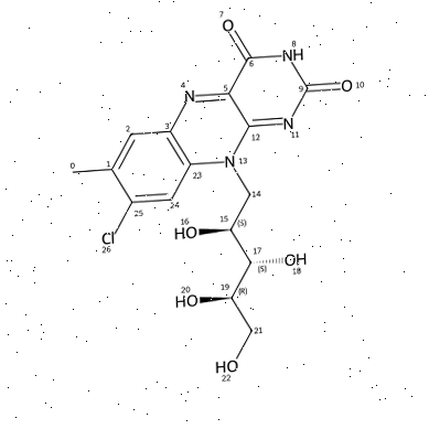 Cc1cc2nc3c(=O)[nH]c(=O)nc-3n(C[C@H](O)[C@H](O)[C@H](O)CO)c2cc1Cl